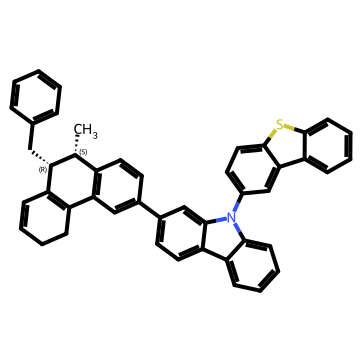 C[C@@H]1c2ccc(-c3ccc4c5ccccc5n(-c5ccc6sc7ccccc7c6c5)c4c3)cc2C2=C(C=CCC2)[C@@H]1Cc1ccccc1